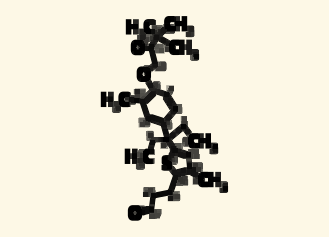 CCC(CC)(c1ccc(OCC(=O)C(C)(C)C)c(C)c1)c1cc(C)c(CCC=O)s1